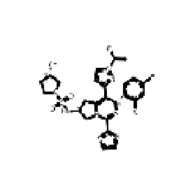 C[C@@H]1CCN(S(=O)(=O)N[C@H]2CC3=C(c4ccn(C(F)F)n4)[C@H](c4ccc(F)cc4Cl)N=C(c4nccs4)N3C2)C1